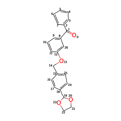 O=C(c1ccccc1)c1cccc(OCc2ccc(C3OCCO3)cc2)c1